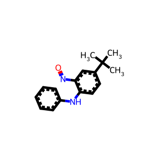 CC(C)(C)c1ccc(Nc2ccccc2)c(N=O)c1